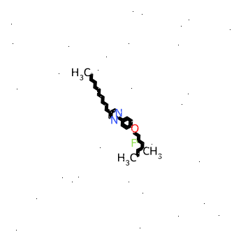 CCCCCCCCCCCc1cnc(-c2ccc(OCCC(F)CC(C)CCC)cc2)nc1